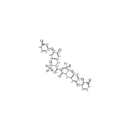 O=C(OC(=O)C1Cc2cc(Cl)c(Oc3cccc[n+]3[O-])cc2OC1C(F)(F)F)C1Cc2cc(Cl)c(Oc3ccc[n+]([O-])c3)cc2OC1C(F)(F)F